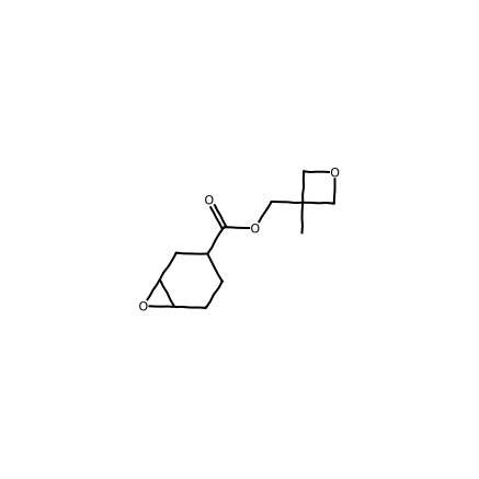 CC1(COC(=O)C2CCC3OC3C2)COC1